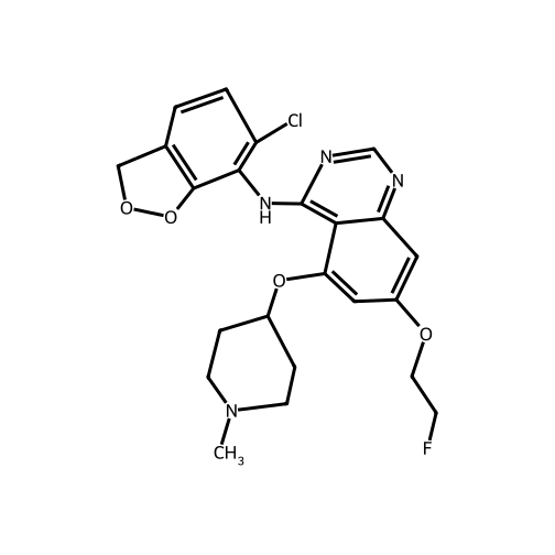 CN1CCC(Oc2cc(OCCF)cc3ncnc(Nc4c(Cl)ccc5c4OOC5)c23)CC1